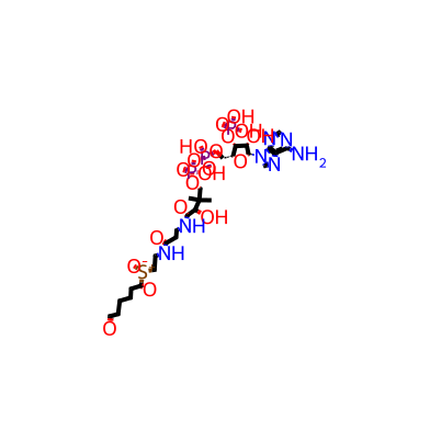 CC(C)(COP(=O)(O)OP(=O)(O)OC[C@H]1O[C@@H](n2cnc3c(N)ncnc32)[C@H](O)[C@@H]1OP(=O)(O)O)C(O)C(=O)NCCC(=O)NCC[S+]([O-])C(=O)CCCCC=O